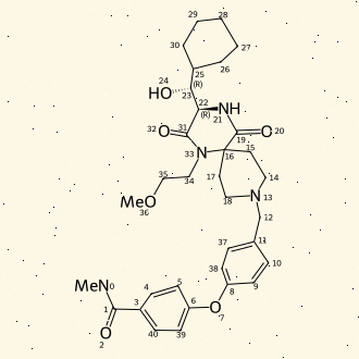 CNC(=O)c1ccc(Oc2ccc(CN3CCC4(CC3)C(=O)N[C@H]([C@H](O)C3CCCCC3)C(=O)N4CCOC)cc2)cc1